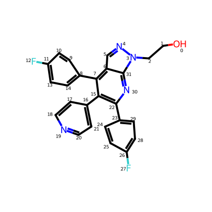 OCCn1ncc2c(-c3ccc(F)cc3)c(-c3ccncc3)c(-c3ccc(F)cc3)nc21